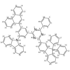 c1ccc(-c2nc(-c3cc(-c4cc5ccccc5c5ccccc45)cc(-n4c5ccccc5c5ccccc54)c3)nc(-c3ccc4c(c3)C(c3ccccc3)(c3ccccc3)c3ccccc3-4)n2)cc1